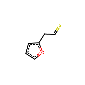 S=CCc1ccco1